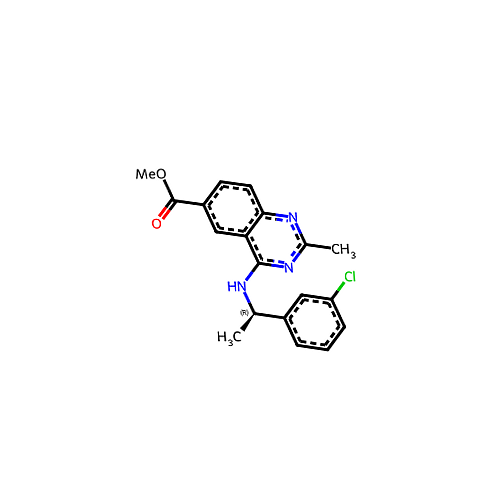 COC(=O)c1ccc2nc(C)nc(N[C@H](C)c3cccc(Cl)c3)c2c1